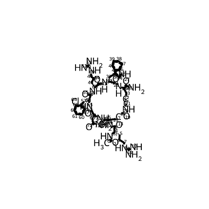 CC(=O)N[C@@H](CCCNC(=N)N)C(=O)N[C@H]1CCC(=O)NCCCC(C(N)=O)NC(=O)[C@H](Cc2c[nH]c3ccccc23)NC(=O)[C@H](CCCNC(=N)N)NC(=O)[C@@H](Cc2ccccc2Cl)NC(=O)[C@H](CC(N)=O)NC1=O